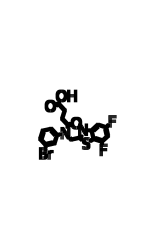 O=C(O)CCC(=O)N(Cc1nc2cc(F)cc(F)c2s1)c1cccc(Br)c1